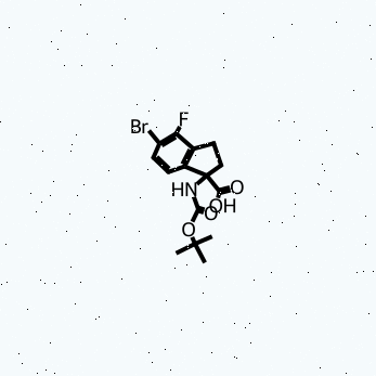 CC(C)(C)OC(=O)NC1(C(=O)O)CCc2c1ccc(Br)c2F